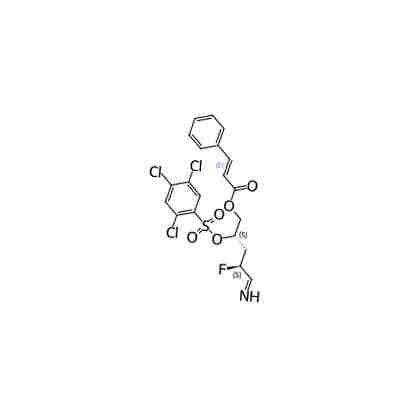 N=C[C@@H](F)C[C@@H](COC(=O)/C=C/c1ccccc1)OS(=O)(=O)c1cc(Cl)c(Cl)cc1Cl